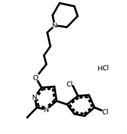 Cc1nc(OCCCCN2CCCCC2)cc(-c2ccc(Cl)cc2Cl)n1.Cl